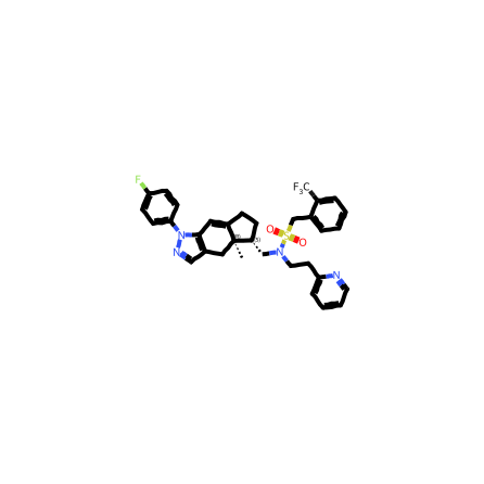 C[C@]12Cc3cnn(-c4ccc(F)cc4)c3C=C1CC[C@@H]2CN(CCc1ccccn1)S(=O)(=O)Cc1ccccc1C(F)(F)F